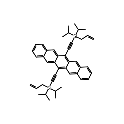 C=CC[Si](C#Cc1c2cc3ccccc3cc2c(C#C[Si](CC=C)(C(C)C)C(C)C)c2cc3ccccc3cc12)(C(C)C)C(C)C